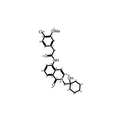 COc1cc(CC(=O)Nc2cccc3c(=O)n(CC4(O)CCCCC4)ccc23)ccc1Cl